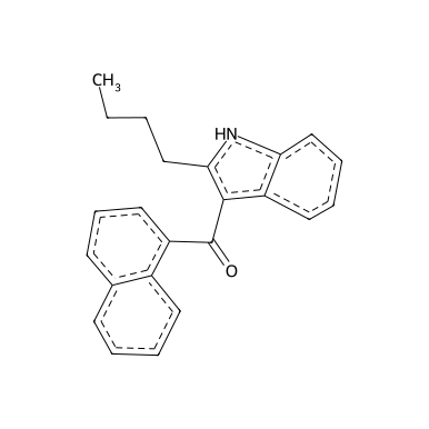 CCCCc1[nH]c2ccccc2c1C(=O)c1cccc2ccccc12